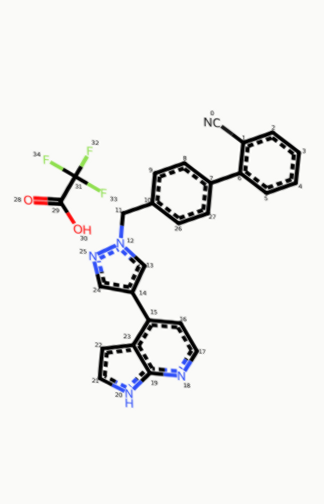 N#Cc1ccccc1-c1ccc(Cn2cc(-c3ccnc4[nH]ccc34)cn2)cc1.O=C(O)C(F)(F)F